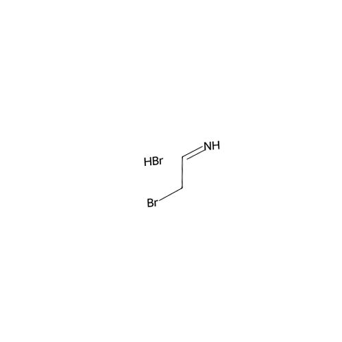 Br.N=CCBr